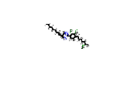 CCCCCCCC=Cc1cnc(-c2ccc(CCCCCC(C)F)c(F)c2F)nc1